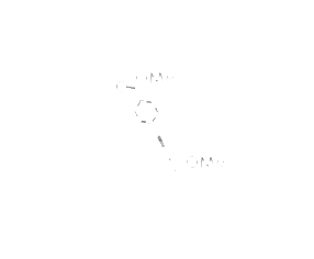 COCC1(C#Cc2ccc(C(=O)OC)cc2)CCC1